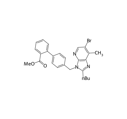 CCCCc1nc2c(C)c(Br)cnc2n1Cc1ccc(-c2ccccc2C(=O)OC)cc1